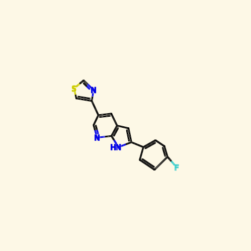 Fc1ccc(-c2cc3cc(-c4cscn4)cnc3[nH]2)cc1